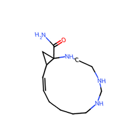 NC(=O)C12CC1C=CCCCCNCNCCN2